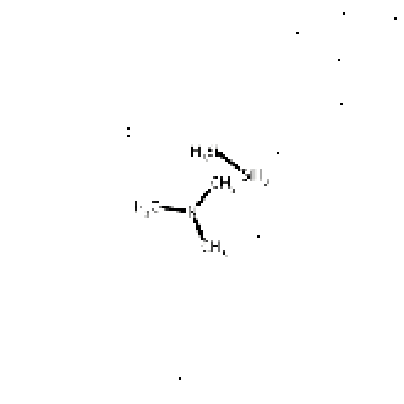 CN(C)C.[SiH3][SiH3]